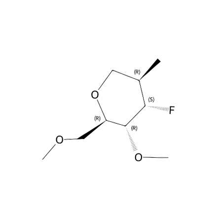 COC[C@H]1OC[C@@H](C)[C@H](F)[C@@H]1OC